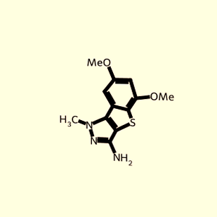 COc1cc(OC)c2sc3c(N)nn(C)c3c2c1